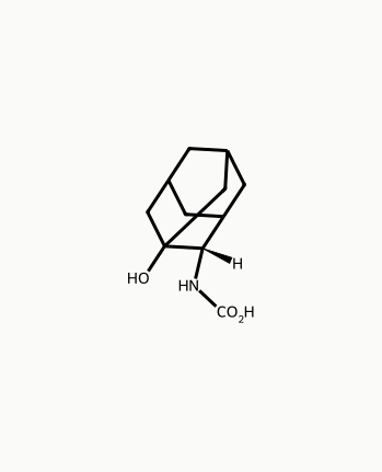 O=C(O)N[C@H]1C2CC3CC(C2)CC1(O)C3